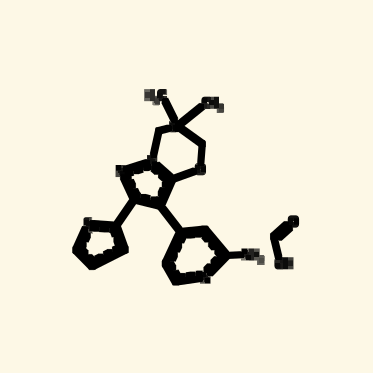 C[Si]1(C)COc2c(-c3ccnc(N)c3)c(-c3cccs3)nn2C1.O=CO